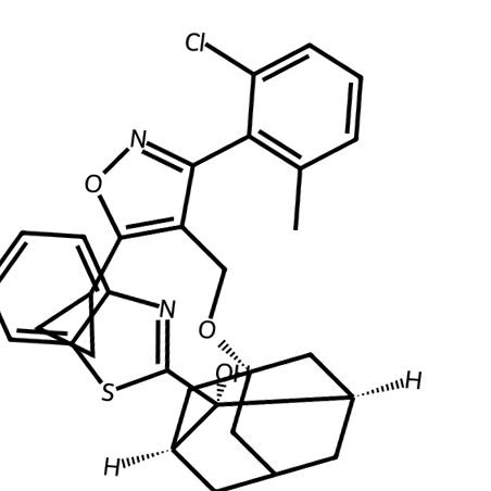 Cc1cccc(Cl)c1-c1noc(C2CC2)c1CO[C@@]12CC3C[C@H](C1)[C@](O)(c1nc4ccccc4s1)[C@@H](C3)C2